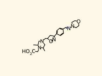 CC1CN(CC2CC(c3ccc(/C=N/N4CCOCC4)cc3)=NO2)CC(C)N1CC(=O)O